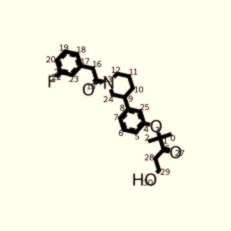 CC(C)(Oc1cccc(C2CCCN(C(=O)Cc3cccc(F)c3)C2)c1)C(=O)CCO